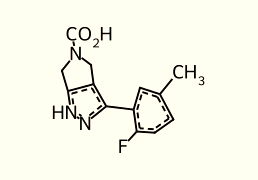 Cc1ccc(F)c(-c2n[nH]c3c2CN(C(=O)O)C3)c1